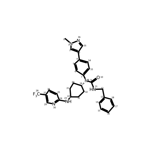 Cn1cc(-c2ccc(N(C(=O)NCc3ccccc3)[C@H]3CC[C@H](Nc4ccc(C(F)(F)F)cn4)CC3)cc2)cn1